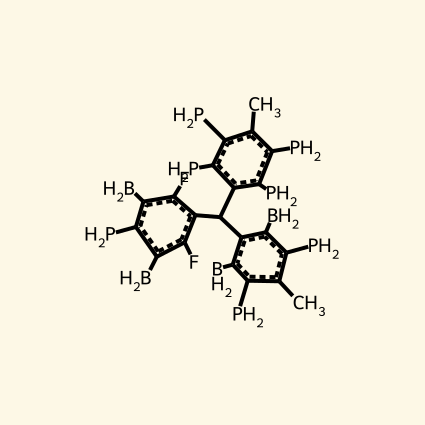 Bc1c(F)c(C(c2c(B)c(P)c(C)c(P)c2B)c2c(P)c(P)c(C)c(P)c2P)c(F)c(B)c1P